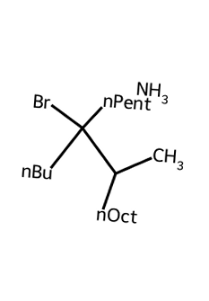 CCCCCCCCC(C)C(Br)(CCCC)CCCCC.N